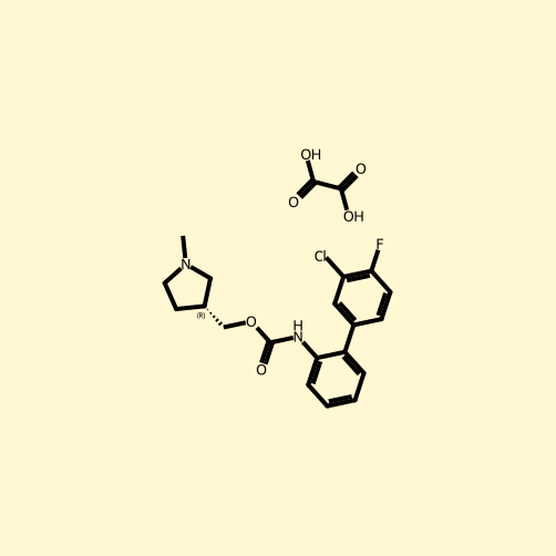 CN1CC[C@@H](COC(=O)Nc2ccccc2-c2ccc(F)c(Cl)c2)C1.O=C(O)C(=O)O